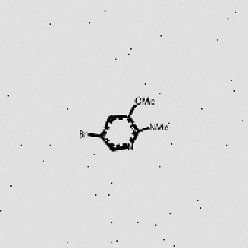 CNc1ncc(Br)cc1OC